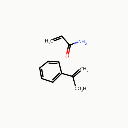 C=C(C(=O)O)c1ccccc1.C=CC(N)=O